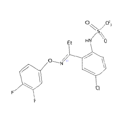 CC/C(=N\Oc1ccc(F)c(F)c1)c1cc(Cl)ccc1NS(=O)(=O)C(F)(F)F